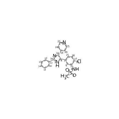 CS(=O)(=O)Nc1cc(-c2[nH]c(-c3ccccc3)nc2-c2ccncc2)ccc1Cl